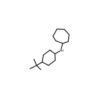 CC(C)(C)C1CCC(NC2CCCCCC2)CC1